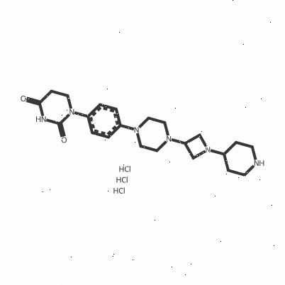 Cl.Cl.Cl.O=C1CCN(c2ccc(N3CCN(C4CN(C5CCNCC5)C4)CC3)cc2)C(=O)N1